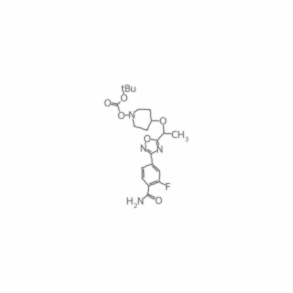 CC(OC1CCN(OC(=O)OC(C)(C)C)CC1)c1nc(-c2ccc(C(N)=O)c(F)c2)no1